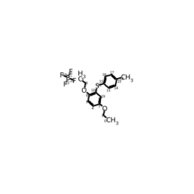 CCOc1ccc(OCC)c(Sc2ccc(C)cc2)c1.F[B-](F)(F)F